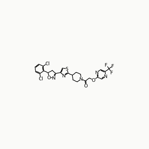 O=C(COc1cnc(C(F)(F)F)cn1)N1CCC(c2nc(C3=NOC(c4c(Cl)cccc4Cl)C3)cs2)CC1